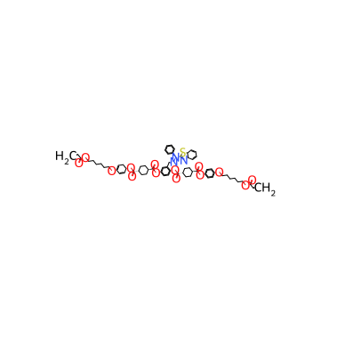 C=CC(=O)OCCCCCCOC1=CCC(OC(=O)[C@H]2CC[C@H](C(=O)Oc3ccc(OC(=O)[C@H]4CC[C@H](C(=O)Oc5ccc(OCCCCCCOC(=O)C=C)cc5)CC4)c(/C=N/N(C4=NC5C=CC=CC5S4)c4ccccc4)c3)CC2)C=C1